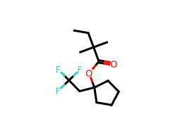 CCC(C)(C)C(=O)OC1(CC(F)(F)F)CCCC1